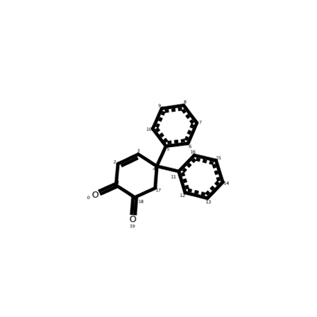 O=C1C=CC(c2ccccc2)(c2ccccc2)CC1=O